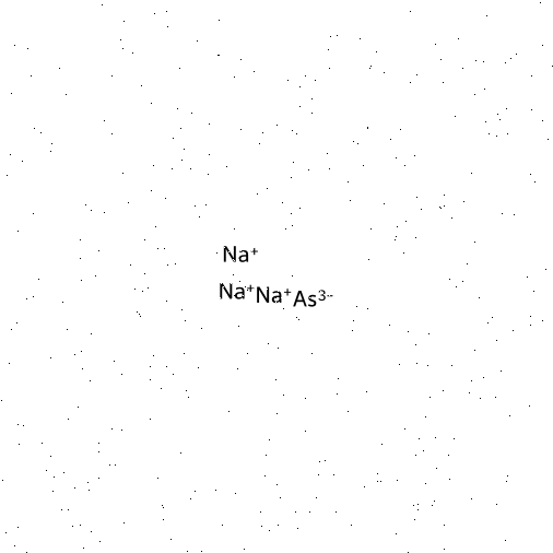 [As-3].[Na+].[Na+].[Na+]